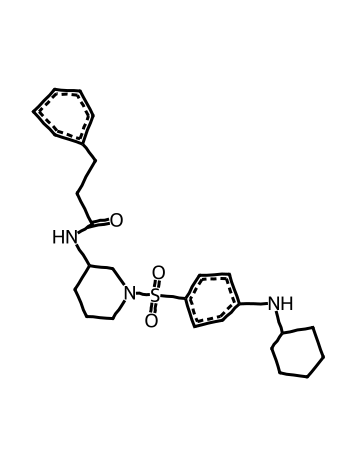 O=C(CCc1ccccc1)NC1CCCN(S(=O)(=O)c2ccc(NC3CCCCC3)cc2)C1